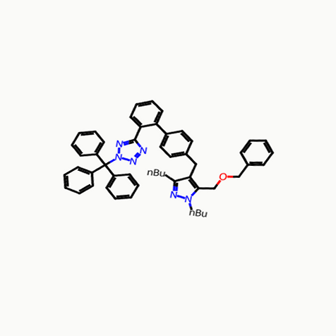 CCCCc1nn(CCCC)c(COCc2ccccc2)c1Cc1ccc(-c2ccccc2-c2nnn(C(c3ccccc3)(c3ccccc3)c3ccccc3)n2)cc1